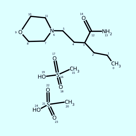 CCCC(CCN1CCOCC1)C(N)=O.CS(=O)(=O)O.CS(=O)(=O)O